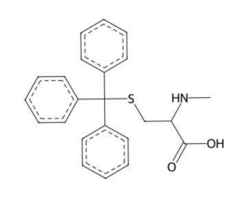 CNC(CSC(c1ccccc1)(c1ccccc1)c1ccccc1)C(=O)O